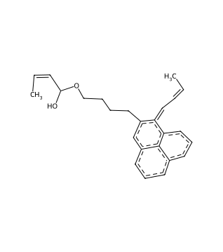 C/C=C\C=c1\c(CCCCOC(O)/C=C\C)cc2cccc3cccc1c32